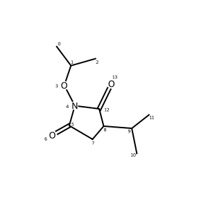 CC(C)ON1C(=O)CC(C(C)C)C1=O